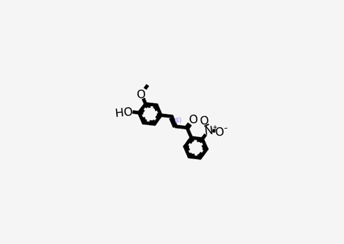 COc1cc(/C=C/C(=O)c2ccccc2[N+](=O)[O-])ccc1O